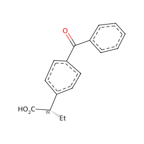 CC[C@H](C(=O)O)c1ccc(C(=O)c2ccccc2)cc1